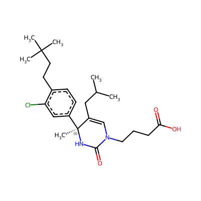 CC(C)CC1=CN(CCCC(=O)O)C(=O)N[C@@]1(C)c1ccc(CCC(C)(C)C)c(Cl)c1